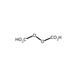 O=C(O)OOC(=O)O